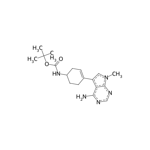 Cn1cc(C2=CCC(NC(=O)OC(C)(C)C)CC2)c2c(N)ncnc21